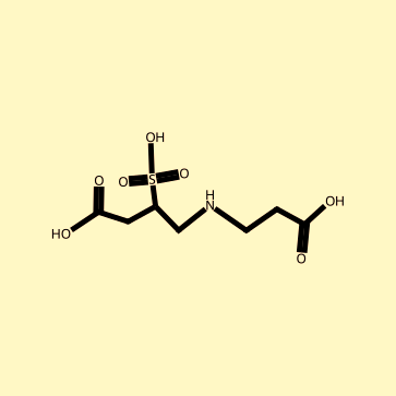 O=C(O)CCNCC(CC(=O)O)S(=O)(=O)O